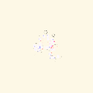 CC[C@H](C)C(NC(=O)C(CC(C)C)N(C)C(=O)[C@@H]1CC(C)N[C@@](C)(N(C)C(=O)C(NC(=O)[C@H](Cc2ccccc2)N(C)C(=O)[C@@H](NC(=O)[C@H](Cc2ccccc2)N(C)C(=O)[C@H](CC(C)C)N(C)C(=O)[C@H](CC(C)C)N(C)C(=O)C(C)NC(=O)[C@@H](NC(=O)[C@H](CC(C)C)N(C)C(=O)[C@H](C)N)C(C)C)[C@@H](C)O)C2CC2=O)C(=O)N1)C(=O)N1CCCCC1